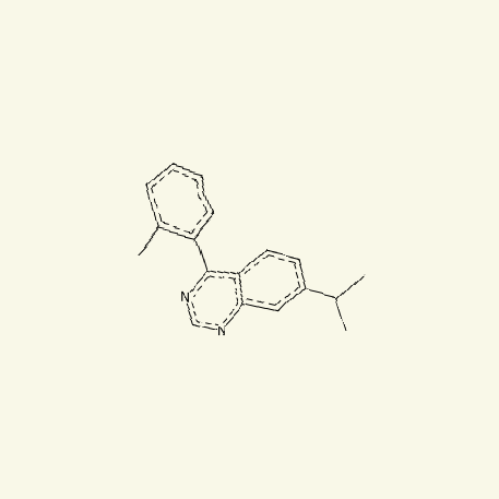 Cc1ccccc1-c1ncnc2cc(C(C)C)ccc12